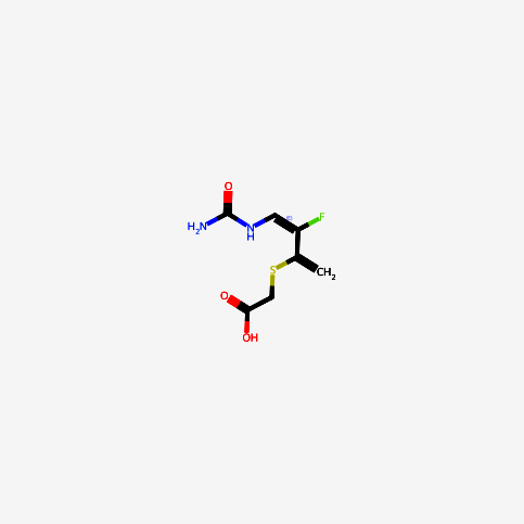 C=C(SCC(=O)O)/C(F)=C\NC(N)=O